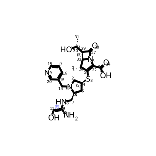 C[C@H]1C(S[C@H]2C[C@@H](CN/C(N)=C/O)N(Cc3cccnc3)C2)=C(C(=O)O)N2C(=O)[C@H]([C@@H](C)O)C12